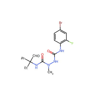 CCC(C=O)(NC(=O)N(C)NC(=O)Nc1ccc(Br)cc1F)C(C)C